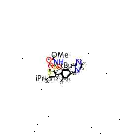 COC(=O)NS(=O)(=O)c1sc(CC(C)C)cc1-c1ccc(Cn2ccnc2C(C)(C)C)cc1C